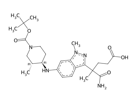 C[C@@H]1CN(C(=O)OC(C)(C)C)CC[C@H]1Nc1ccc2c(C(C)(CCC(=O)O)C(N)=O)nn(C)c2c1